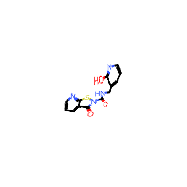 O=C(NCc1cccnc1O)n1sc2ncccc2c1=O